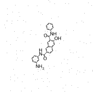 Nc1cccc(NC(=O)c2ccc3cc(O)c(C(=O)Nc4ccccc4)cc3c2)c1